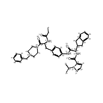 CCC(=O)NC(Cc1ccc(NC(=O)[C@@H](NC(=O)c2ccnn2C(C)C)C2Cc3ccccc3C2)cc1)C(=O)N1CCN(Cc2ccccc2)CC1